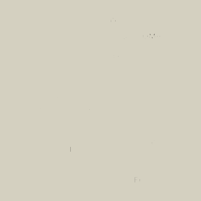 CCc1cc(F)c(OCc2c(OC(=O)OC)cccc2C2CC2)cc1Cl